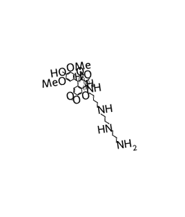 COc1cc(C2c3cc4c(cc3[C@@H](NC(=O)CCCCNCCCCNCCCCN)[C@H]3COC(=O)[C@H]23)OCO4)cc(OC)c1O